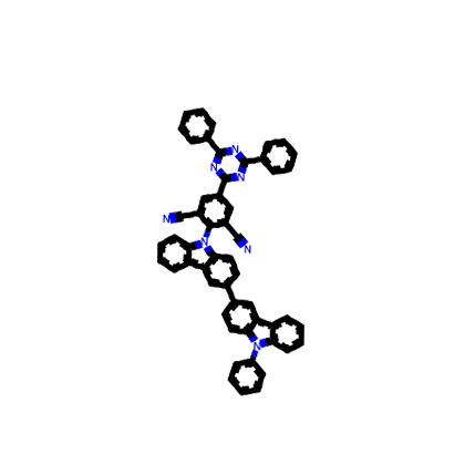 N#Cc1cc(-c2nc(-c3ccccc3)nc(-c3ccccc3)n2)cc(C#N)c1-n1c2ccccc2c2cc(-c3ccc4c(c3)c3ccccc3n4-c3ccccc3)ccc21